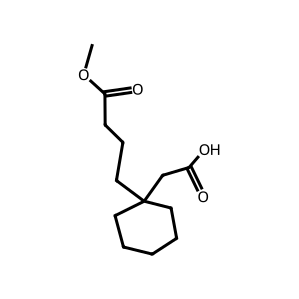 COC(=O)CCCC1(CC(=O)O)CCCCC1